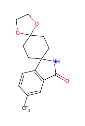 O=C1NC2(CCC3(CC2)OCCO3)c2ccc(C(F)(F)F)cc21